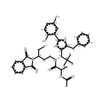 CC(=O)OC(C)C(=O)N(CCC(CF)N1C(=O)c2ccccc2C1=O)[C@H](c1nc(-c2cc(F)ccc2F)oc1Cc1ccccc1)C(C)(C)C